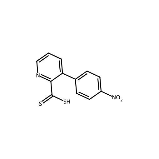 O=[N+]([O-])c1ccc(-c2cccnc2C(=S)S)cc1